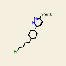 CCCCCc1ccc([C@H]2CC[C@H](CCCCBr)CC2)nn1